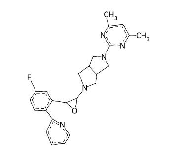 Cc1cc(C)nc(N2CC3CN(C4OC4c4cc(F)ccc4-c4ccccn4)CC3C2)n1